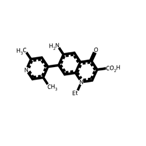 CCn1cc(C(=O)O)c(=O)c2cc(N)c(-c3cc(C)ncc3C)cc21